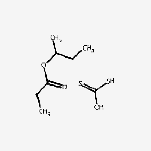 CCC(=O)OC(C)CC.OC(=S)S